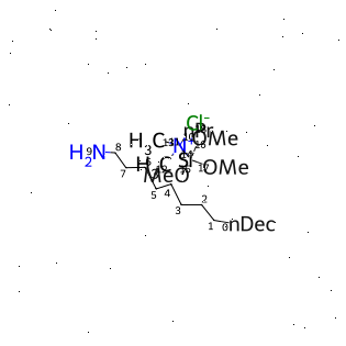 CCCCCCCCCCCCCCCCCCN.CCC[N+](C)(C)[Si](OC)(OC)OC.[Cl-]